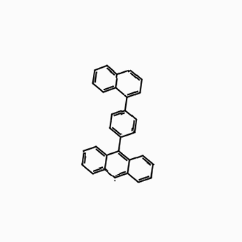 [c]1c2ccccc2c(-c2ccc(-c3cccc4ccccc34)cc2)c2ccccc12